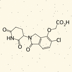 O=C(O)COc1c(Cl)ccc2c1CN(C1CCC(=O)NC1=O)C2=O